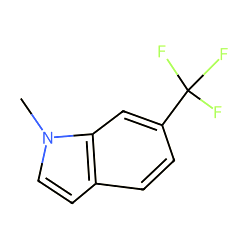 Cn1ccc2ccc(C(F)(F)F)cc21